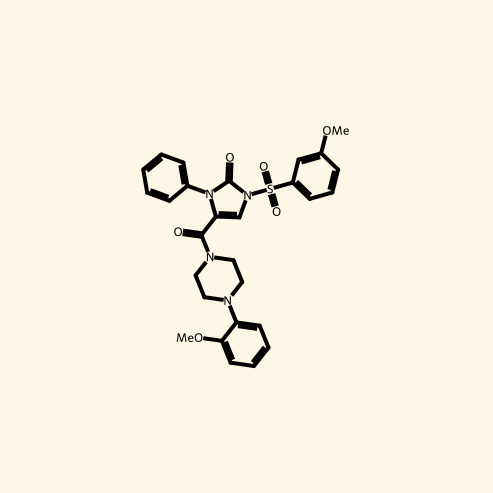 COc1cccc(S(=O)(=O)n2cc(C(=O)N3CCN(c4ccccc4OC)CC3)n(-c3ccccc3)c2=O)c1